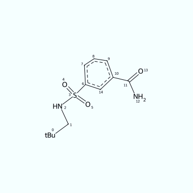 CC(C)(C)CNS(=O)(=O)c1cccc(C(N)=O)c1